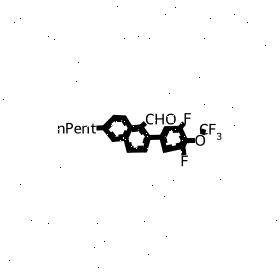 CCCCCc1ccc2c(C=O)c(-c3cc(F)c(OC(F)(F)F)c(F)c3)ccc2c1